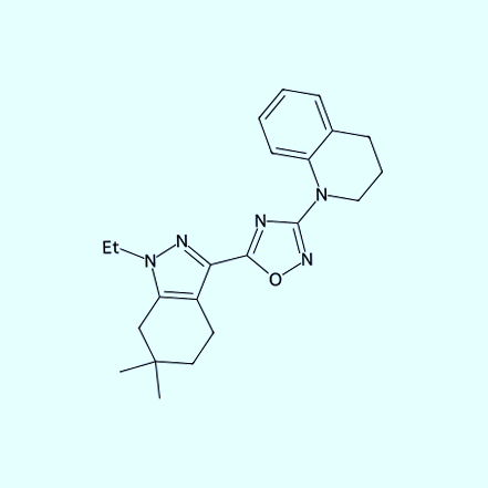 CCn1nc(-c2nc(N3CCCc4ccccc43)no2)c2c1CC(C)(C)CC2